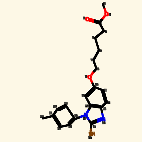 COC(=O)CCCCCOc1ccc2nc(S)n(-c3ccc(C)cc3)c2c1